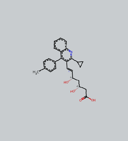 Cc1ccc(-c2c(/C=C/[C@@H](O)C[C@@H](O)CC(=O)O)c(C3CC3)nc3ccccc23)cc1